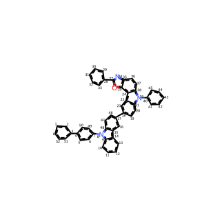 c1ccc(-c2ccc(-n3c4ccccc4c4cc(-c5ccc6c(c5)c5c7oc(-c8ccccc8)nc7ccc5n6-c5ccccc5)ccc43)cc2)cc1